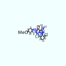 COc1cccc(Cc2nc3c(c(N(C)C)nn3-c3c(Cl)cccc3Cl)c(=O)[nH]2)c1